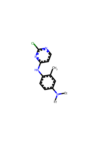 CCN(CC)c1ccc(Nc2ccnc(Cl)n2)c(C)c1